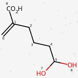 C=C(CCCC(O)O)C(=O)O